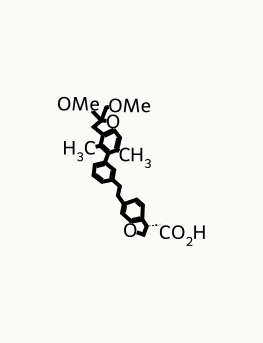 COCC1(COC)Cc2c(cc(C)c(-c3cccc(CCc4ccc5c(c4)OC[C@H]5CC(=O)O)c3)c2C)O1